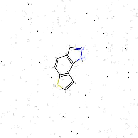 c1cc2c(ccc3cn[nH]c32)s1